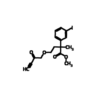 C#CC(=O)COCCC(C)(C(=O)OC)c1cccc(I)c1